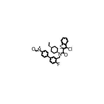 CC[C@H]1CC[C@H](N(Cc2cc(-c3ccc(N(C)C=O)cc3)ccc2F)C(=O)c2sc3ccccc3c2Cl)CC1